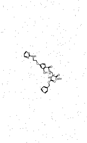 COC(=O)[C@H](CNC(=O)c1ccc(OCCNc2ncccn2)cc1O)NC(=O)OCc1ccccc1